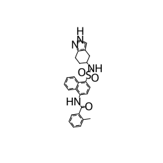 Cc1ccccc1C(=O)Nc1ccc(S(=O)(=O)NC2CCc3n[nH]cc3C2)c2ccccc12